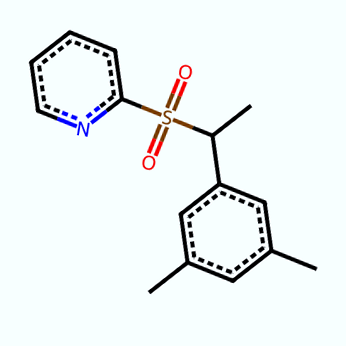 Cc1cc(C)cc(C(C)S(=O)(=O)c2ccccn2)c1